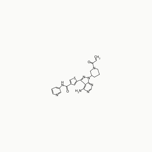 C=CC(=O)N1CCCC(n2nc(-c3cc(C(=O)Nc4cccnc4)cs3)c3c(N)ncnc32)C1